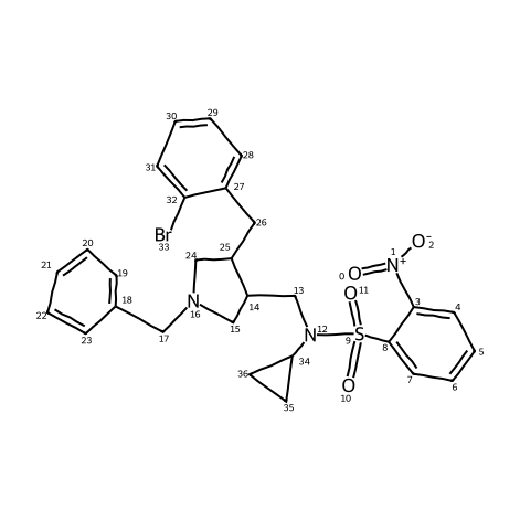 O=[N+]([O-])c1ccccc1S(=O)(=O)N(CC1CN(Cc2ccccc2)CC1Cc1ccccc1Br)C1CC1